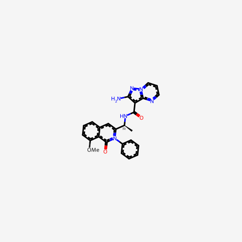 COc1cccc2cc([C@H](C)NC(=O)c3c(N)nn4cccnc34)n(-c3ccccc3)c(=O)c12